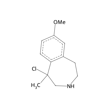 COc1ccc2c(c1)CCNCC2(C)Cl